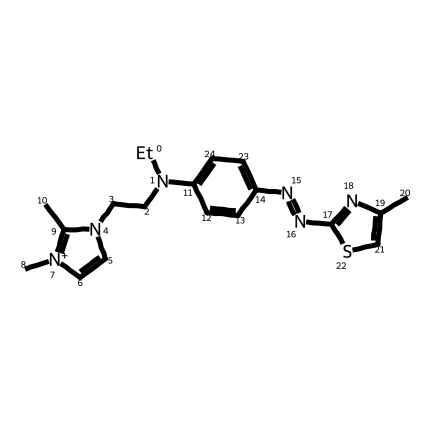 CCN(CCn1cc[n+](C)c1C)c1ccc(/N=N/c2nc(C)cs2)cc1